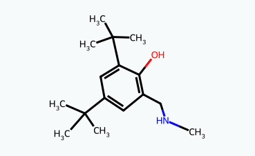 CNCc1cc(C(C)(C)C)cc(C(C)(C)C)c1O